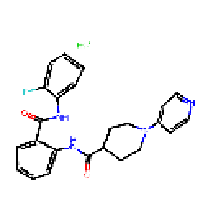 Cl.O=C(Nc1ccccc1F)c1ccccc1NC(=O)C1CCN(c2ccncc2)CC1